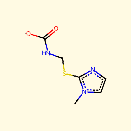 Cn1ccnc1SCNC([O])=O